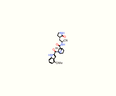 COc1cccc2[nH]c(C(=O)N3C4CCC(CC4)[C@@H]3C(=O)N[C@H](C#N)C[C@H]3CCNC3=O)cc12